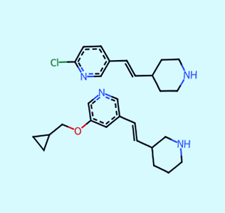 C(=CC1CCCNC1)c1cncc(OCC2CC2)c1.Clc1ccc(C=CC2CCNCC2)cn1